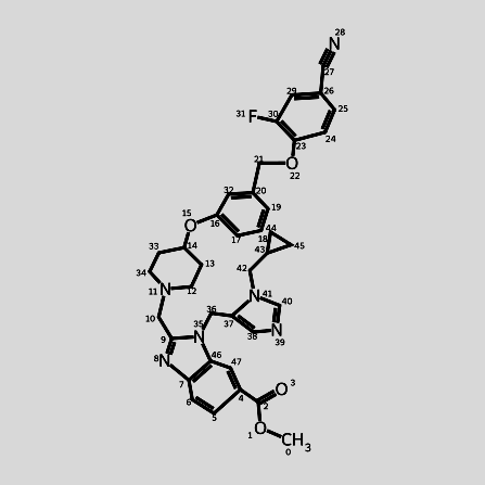 COC(=O)c1ccc2nc(CN3CCC(Oc4cccc(COc5ccc(C#N)cc5F)c4)CC3)n(Cc3cncn3CC3CC3)c2c1